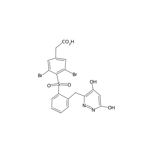 O=C(O)Cc1cc(Br)c(S(=O)(=O)c2ccccc2Cc2nnc(O)cc2O)c(Br)c1